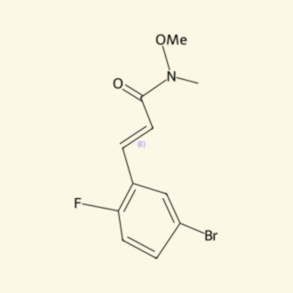 CON(C)C(=O)/C=C/c1cc(Br)ccc1F